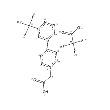 O=C(O)C[n+]1ccc(-c2cnnc(C(F)(F)F)c2)cc1.O=C([O-])C(F)(F)F